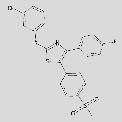 CS(=O)(=O)c1ccc(-c2sc(Sc3cccc(Cl)c3)nc2-c2ccc(F)cc2)cc1